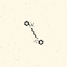 C[Si](C)(C)N(/N=C/CCCC/C=N/N(c1ccccc1)[Si](C)(C)C)c1ccccc1